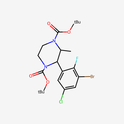 CC1C(c2cc(Cl)cc(Br)c2F)N(C(=O)OC(C)(C)C)CCN1C(=O)OC(C)(C)C